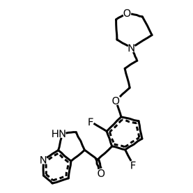 O=C(c1c(F)ccc(OCCCN2CCOCC2)c1F)C1CNc2ncccc21